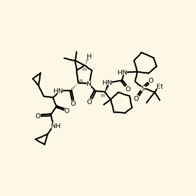 CCC(C)(C)S(=O)(=O)CC1(NC(=O)N[C@H](C(=O)N2C[C@H]3C([C@H]2C(=O)NC(CC2CC2)C(=O)C(=O)NC2CC2)C3(C)C)C2(C)CCCCC2)CCCCC1